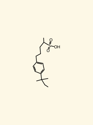 CCC(C)(C)c1ccc(CCCC(C)S(=O)(=O)O)cc1